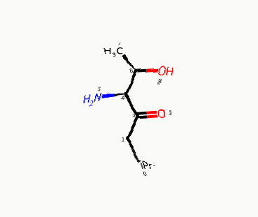 C[C](C)CC(=O)[C@@H](N)[C@@H](C)O